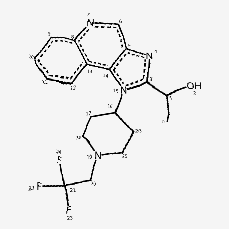 CC(O)c1nc2cnc3ccccc3c2n1C1CCN(CC(F)(F)F)CC1